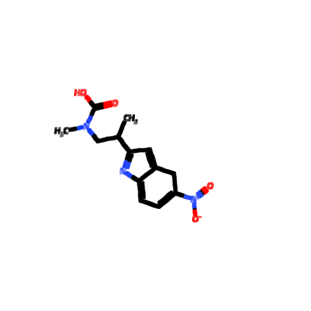 CC(CN(C)C(=O)O)C1=NC2=CC=C([N+](=O)[O-])CC2=C1